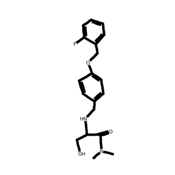 CN(C)C(=O)C(CO)NCc1ccc(OCc2ccccc2F)cc1